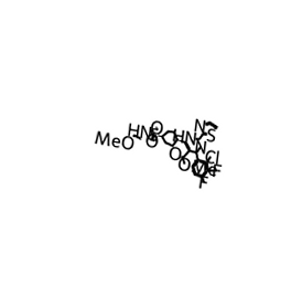 COCCNS(=O)(=O)[C@H]1CC[C@@H](C2=C(C(=O)OC)C(c3ccc(F)c(F)c3Cl)N=C(c3nccs3)N2)CC1